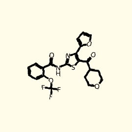 O=C(Nc1nc(-c2ccco2)c(C(=O)C2CCOCC2)s1)c1ccccc1OC(F)(F)F